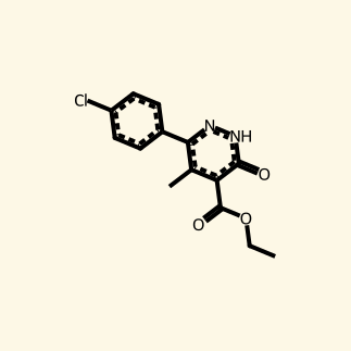 CCOC(=O)c1c(C)c(-c2ccc(Cl)cc2)n[nH]c1=O